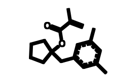 C=C(C)C(=O)OC1(Cc2cc(C)cc(C)c2)CCCC1